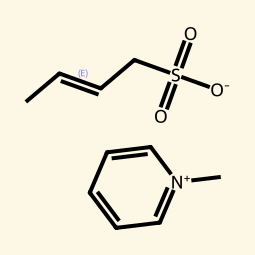 C/C=C/CS(=O)(=O)[O-].C[n+]1ccccc1